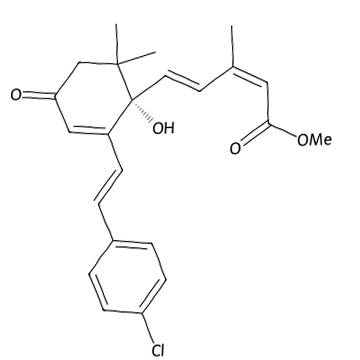 COC(=O)/C=C(C)\C=C\[C@@]1(O)C(/C=C/c2ccc(Cl)cc2)=CC(=O)CC1(C)C